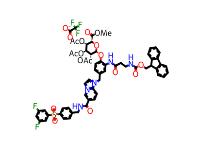 COC(=O)[C@H]1O[C@@H](Oc2ccc(C[n+]3ccn4cc(C(=O)NCc5ccc(S(=O)(=O)c6cc(F)cc(F)c6)cc5)ccc43)cc2NC(=O)CCNC(=O)OCC2c3ccccc3-c3ccccc32)[C@H](OC(C)=O)[C@@H](OC(C)=O)[C@@H]1OC(C)=O.O=C([O-])C(F)(F)F